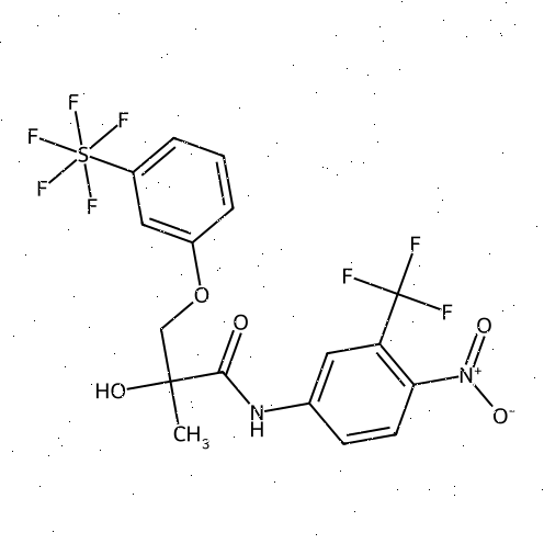 CC(O)(COc1cccc(S(F)(F)(F)(F)F)c1)C(=O)Nc1ccc([N+](=O)[O-])c(C(F)(F)F)c1